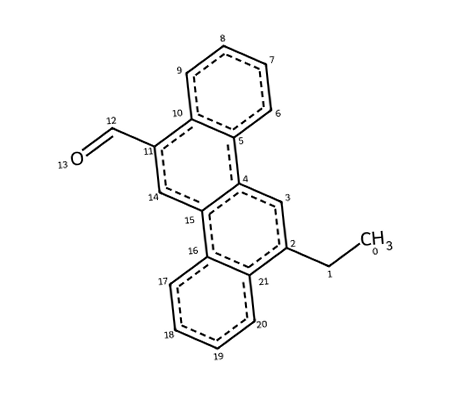 CCc1cc2c3ccccc3c(C=O)cc2c2ccccc12